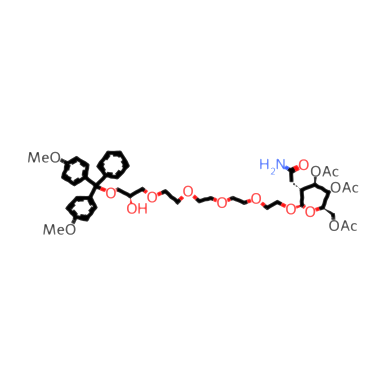 COc1ccc(C(OC[C@@H](O)COCCOCCOCCOCCO[C@@H]2O[C@H](COC(C)=O)[C@H](OC(C)=O)[C@H](OC(C)=O)[C@H]2CC(N)=O)(c2ccccc2)c2ccc(OC)cc2)cc1